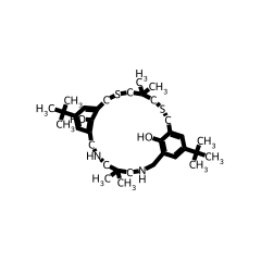 CC1(C)CNCc2cc(C(C)(C)C)cc(c2O)CSCC(C)(C)CSCc2cc(C(C)(C)C)cc(c2O)CNC1